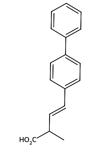 CC(/C=C/c1ccc(-c2ccccc2)cc1)C(=O)O